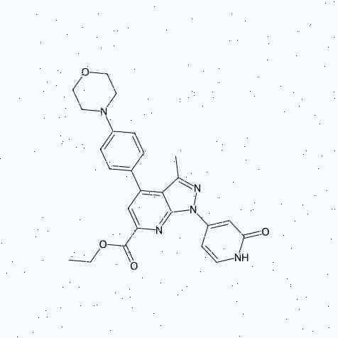 CCOC(=O)c1cc(-c2ccc(N3CCOCC3)cc2)c2c(C)nn(-c3cc[nH]c(=O)c3)c2n1